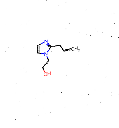 C=CCc1nccn1CCO